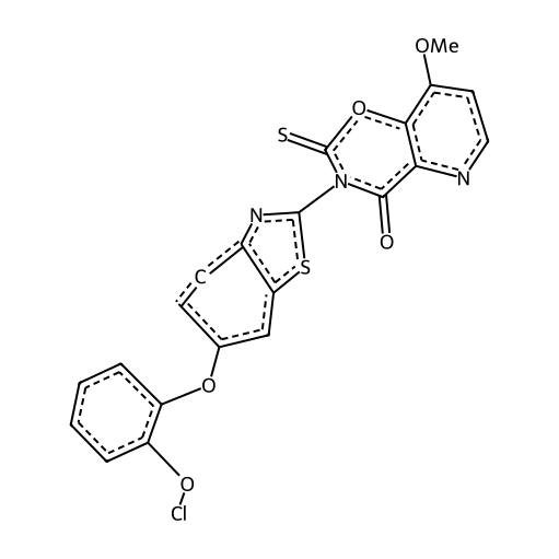 COc1ccnc2c(=O)n(-c3nc4ccc(Oc5ccccc5OCl)cc4s3)c(=S)oc12